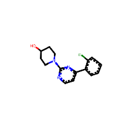 OC1CCN(c2nccc(-c3ccccc3Cl)n2)CC1